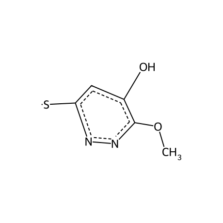 COc1nnc([S])cc1O